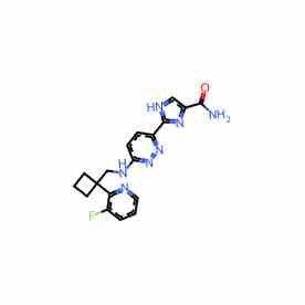 NC(=O)c1c[nH]c(-c2ccc(NCC3(c4ncccc4F)CCC3)nn2)n1